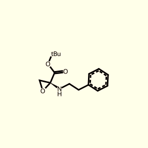 CC(C)(C)OC(=O)[C@@]1(NCCc2ccccc2)CO1